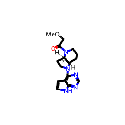 COCC(=O)N1CCC[C@@H]2[C@H]1CCN2c1ncnc2[nH]ccc12